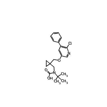 CC(C)(C)N(CC1(COc2cnc(Cl)c(-c3ccccc3)c2)CC1)C(=O)O